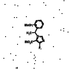 CCOC(=O)c1c(F)ncn1C(C)c1ccccc1OC